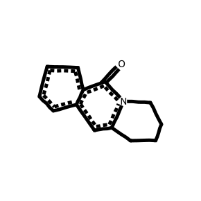 O=c1c2ccccc2cc2n1CCCC2